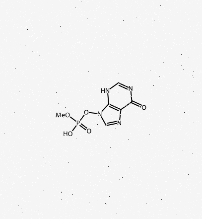 COP(=O)(O)On1cnc2c(=O)nc[nH]c21